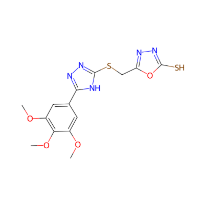 COc1cc(-c2nnc(SCc3nnc(S)o3)[nH]2)cc(OC)c1OC